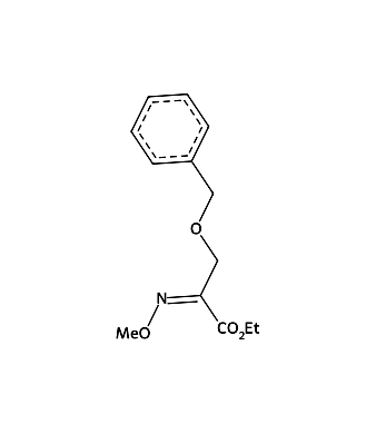 CCOC(=O)C(COCc1ccccc1)=NOC